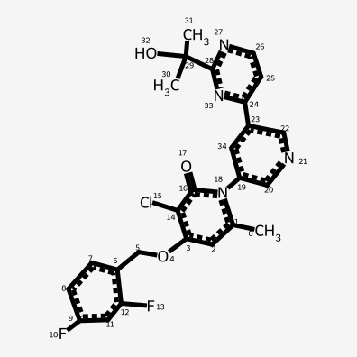 Cc1cc(OCc2ccc(F)cc2F)c(Cl)c(=O)n1-c1cncc(-c2ccnc(C(C)(C)O)n2)c1